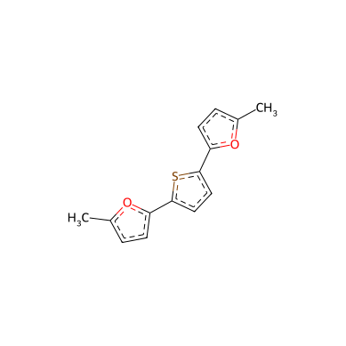 Cc1ccc(-c2ccc(-c3ccc(C)o3)s2)o1